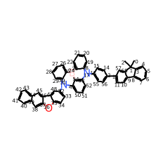 CC1(C)c2ccccc2-c2ccc(-c3ccc(N4c5ccccc5B5c6ccccc6N(c6ccc7oc8cc9ccccc9cc8c7c6)c6cccc4c65)cc3)cc21